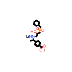 CC(NCC(O)CP(=O)([O-])CC1CCCCC1)c1ccc(C(=O)O)cc1.[Li+]